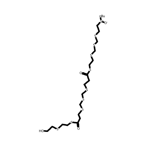 CCCC[S+]([O-])CCSCSCSCCSC(=O)CCSCSCSCCC(=O)SCCSCCO